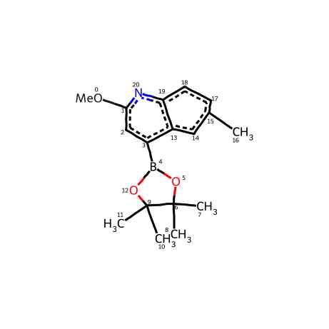 COc1cc(B2OC(C)(C)C(C)(C)O2)c2cc(C)ccc2n1